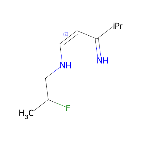 CC(F)CN/C=C\C(=N)C(C)C